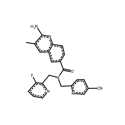 Cc1cc2cc(C(=O)N(Cc3ccc(C#N)cn3)Cc3ncccc3F)ccc2nc1N